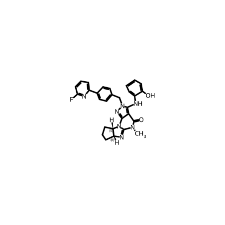 CN1C(=O)c2c(nn(Cc3ccc(-c4cccc(F)n4)cc3)c2Nc2ccccc2O)N2C1=N[C@@H]1CCC[C@@H]12